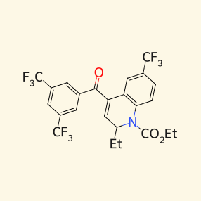 CCOC(=O)N1c2ccc(C(F)(F)F)cc2C(C(=O)c2cc(C(F)(F)F)cc(C(F)(F)F)c2)=CC1CC